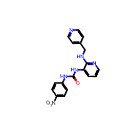 O=C(Nc1ccc([N+](=O)[O-])cc1)Nc1cccnc1NCc1ccncc1